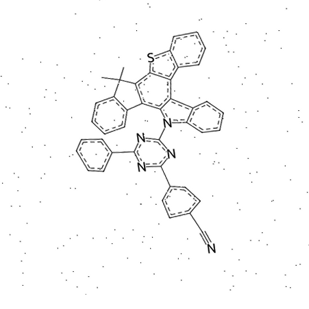 CC1(C)c2ccccc2-c2c1c1sc3ccccc3c1c1c3ccccc3n(-c3nc(-c4ccccc4)nc(-c4ccc(C#N)cc4)n3)c21